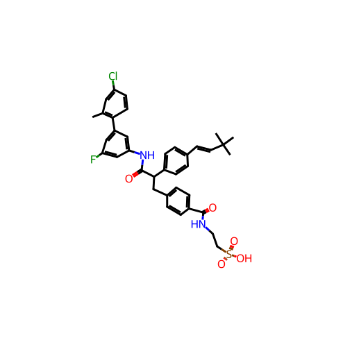 Cc1cc(Cl)ccc1-c1cc(F)cc(NC(=O)C(Cc2ccc(C(=O)NCCS(=O)(=O)O)cc2)c2ccc(/C=C/C(C)(C)C)cc2)c1